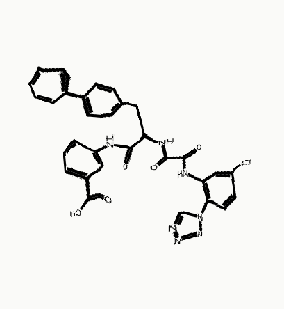 O=C(Nc1cc(Cl)ccc1-n1cnnn1)C(=O)NC(Cc1ccc(-c2ccccc2)cc1)C(=O)Nc1cccc(C(=O)O)c1